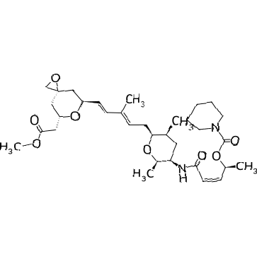 COC(=O)C[C@@H]1C[C@@]2(CO2)C[C@@H](/C=C/C(C)=C/C[C@@H]2O[C@H](C)[C@H](NC(=O)/C=C\[C@H](C)OC(=O)N3CCCCC3)C[C@@H]2C)O1